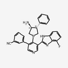 N#Cc1cccc(-c2cncc(-c3nc4c(F)cccc4[nH]3)c2N2C[C@@H](N)[C@H](c3ccccc3)C2)c1